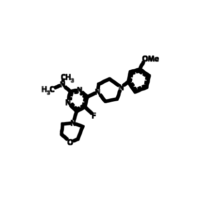 COc1cccc(N2CCN(c3nc(N(C)C)nc(N4CCOCC4)c3F)CC2)c1